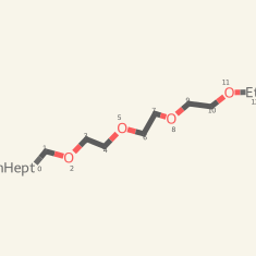 CCCCCCCCO[CH]COCCOCCOCC